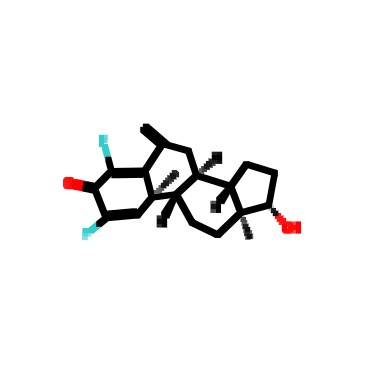 C=C1C[C@H]2[C@@H]3CC[C@H](O)[C@@]3(C)CC[C@@H]2[C@@]2(C)C=C(F)C(=O)C(F)=C12